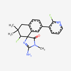 CN1C(=O)C2(N=C1N)c1cc(-c3cccnc3F)ccc1CC(C)(C)C2F